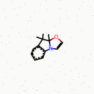 CC1(C)c2ccccc2N2C=COC21C